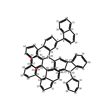 c1ccc(-c2ccc(-c3cccc4ccccc34)cc2N(c2ccc3c(c2)c2ccccc2n3-c2ccccc2)c2ccccc2-c2cccc3cccc(-c4ccccc4)c23)cc1